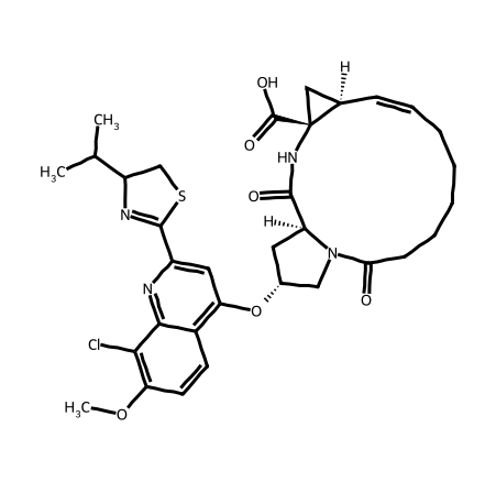 COc1ccc2c(O[C@@H]3C[C@H]4C(=O)N[C@]5(C(=O)O)C[C@H]5/C=C\CCCCCC(=O)N4C3)cc(C3=NC(C(C)C)CS3)nc2c1Cl